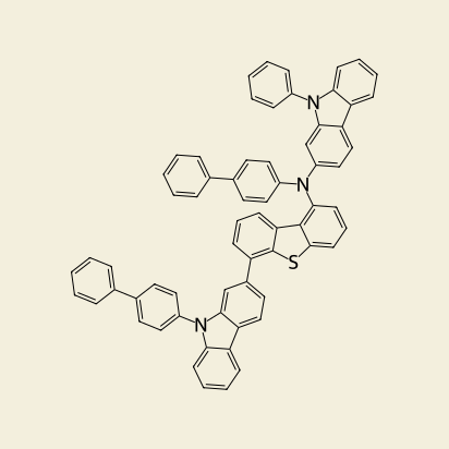 c1ccc(-c2ccc(N(c3ccc4c5ccccc5n(-c5ccccc5)c4c3)c3cccc4sc5c(-c6ccc7c8ccccc8n(-c8ccc(-c9ccccc9)cc8)c7c6)cccc5c34)cc2)cc1